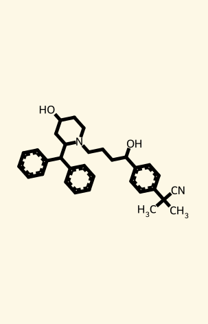 CC(C)(C#N)c1ccc(C(O)CCCN2CCC(O)CC2C(c2ccccc2)c2ccccc2)cc1